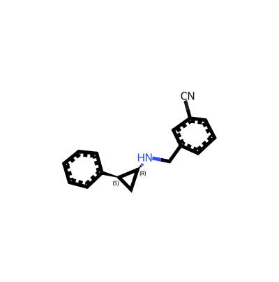 N#Cc1cccc(CN[C@@H]2C[C@H]2c2ccccc2)c1